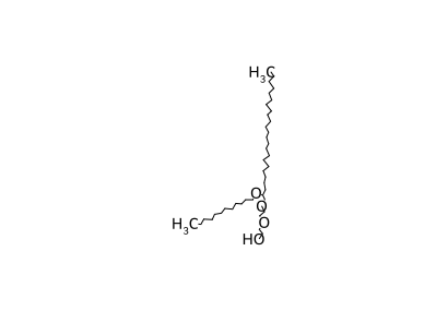 CCCCCCCCCCCCCCCCCCCCCCC(COCCOCCO)OCCCCCCCCCCCC